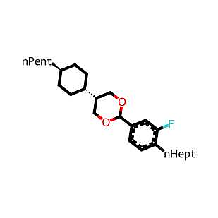 CCCCCCCc1ccc(C2OCC([C@H]3CC[C@H](CCCCC)CC3)CO2)cc1F